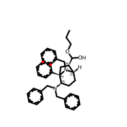 CCCOC(O)[C@@H]1C[C@@]2(c3ccccc3)[C@H](N(Cc3ccccc3)Cc3ccccc3)CC[C@@H]1N2Cc1ccccc1